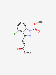 COC(=O)C=Cc1nn(C(=O)OC(C)(C)C)c2cccc(Cl)c12